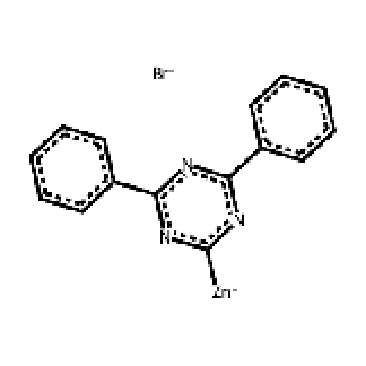 [Br-].[Zn+][c]1nc(-c2ccccc2)nc(-c2ccccc2)n1